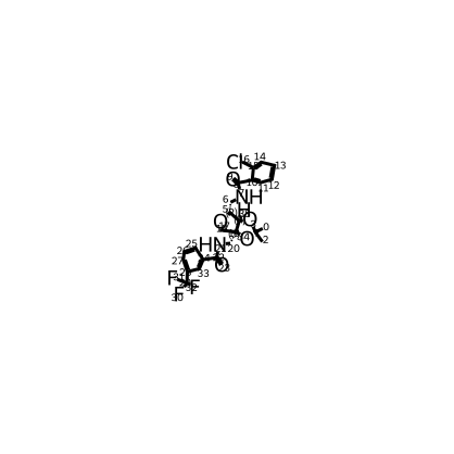 CC1(C)O[C@@H]2[C@@H](CNC(=O)c3ccccc3Cl)OC[C@]2(CNC(=O)c2cccc(C(F)(F)F)c2)O1